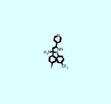 NC1(c2ccc(F)cc2)C=C(c2ccncc2)NN1c1ccc(C(F)(F)F)cc1